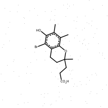 Cc1c(C)c2c(c(Br)c1O)CCC(C)(CCC(=O)O)O2